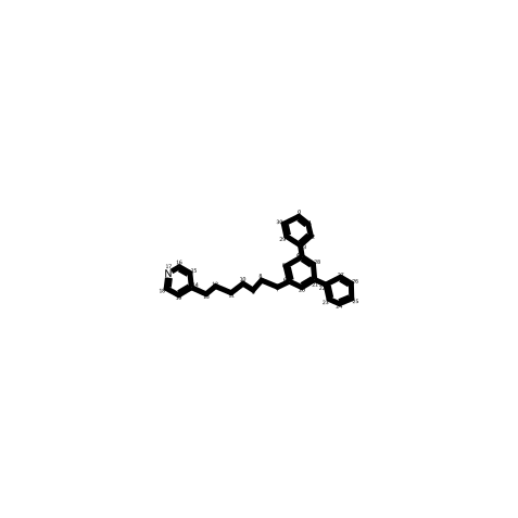 c1ccc(-c2cc(CCCCCCCc3ccncc3)cc(-c3ccccc3)c2)cc1